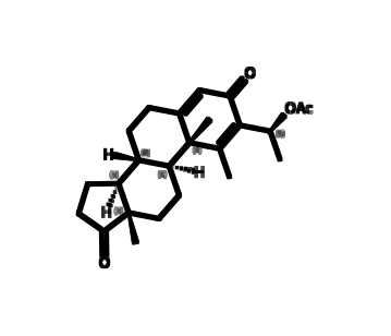 CC(=O)O[C@@H](C)C1=C(C)[C@@]2(C)C(=CC1=O)CC[C@@H]1[C@@H]2CC[C@]2(C)C(=O)CC[C@@H]12